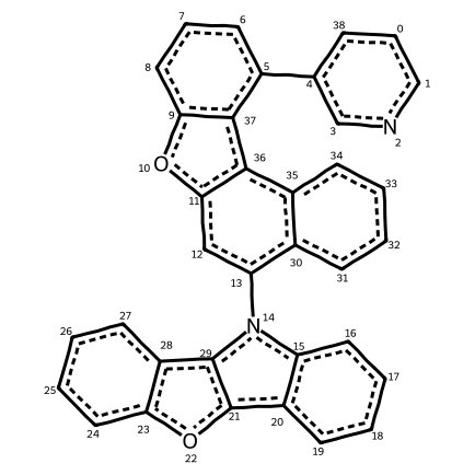 c1cncc(-c2cccc3oc4cc(-n5c6ccccc6c6oc7ccccc7c65)c5ccccc5c4c23)c1